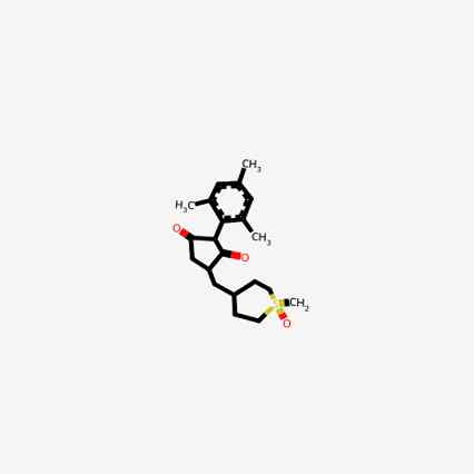 C=S1(=O)CCC(CC2CC(=O)C(c3c(C)cc(C)cc3C)C2=O)CC1